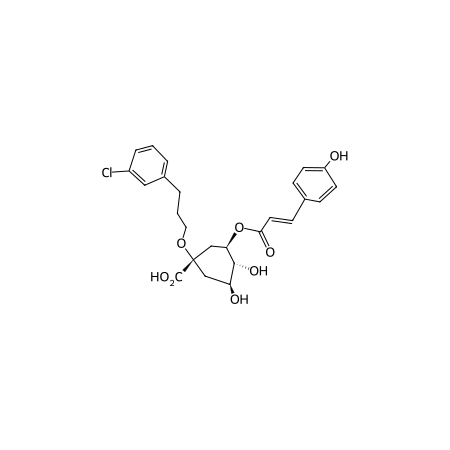 O=C(/C=C/c1ccc(O)cc1)O[C@@H]1C[C@](OCCCc2cccc(Cl)c2)(C(=O)O)C[C@H](O)[C@H]1O